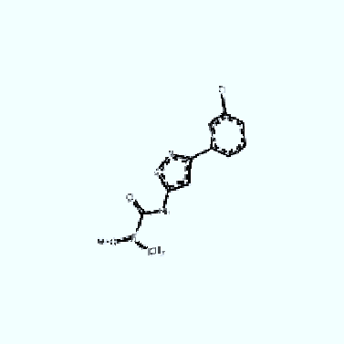 CON(C)C(=O)Nc1cc(-c2cccc(Cl)c2)ns1